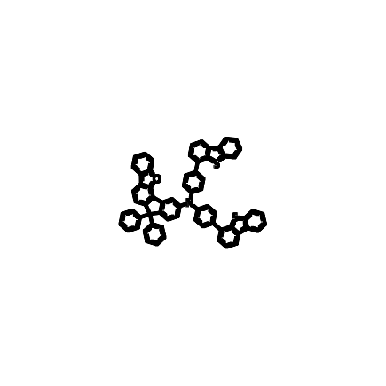 c1ccc(C2(c3ccccc3)c3ccc(N(c4ccc(-c5cccc6c5sc5ccccc56)cc4)c4ccc(-c5cccc6c5sc5ccccc56)cc4)cc3-c3c2ccc2c3oc3ccccc32)cc1